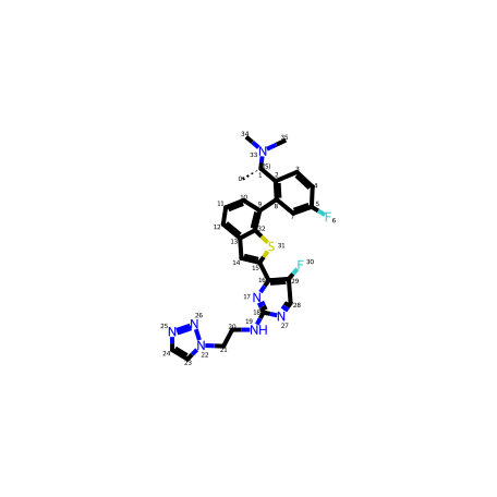 C[C@@H](c1ccc(F)cc1-c1cccc2cc(-c3nc(NCCn4ccnn4)ncc3F)sc12)N(C)C